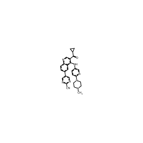 CN1CCN(c2ccc(Nc3c(C(=O)C4CC4)cnc4ccc(-c5cnc(C#N)nc5)cc34)cn2)CC1